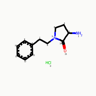 Cl.NC1CCN(CCc2ccccc2)C1=O